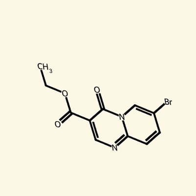 CCOC(=O)c1cnc2ccc(Br)cn2c1=O